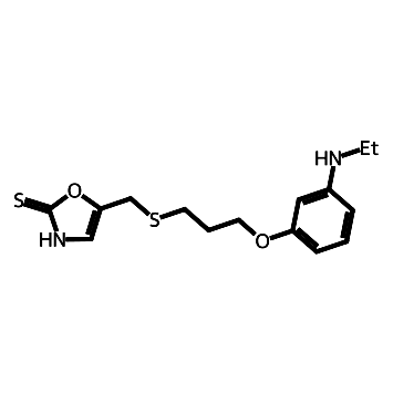 CCNc1cccc(OCCCSCc2c[nH]c(=S)o2)c1